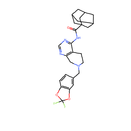 O=C(Nc1ncnc2c1CCN(Cc1ccc3c(c1)OC(F)(F)O3)C2)C12CC3CC(CC(C3)C1)C2